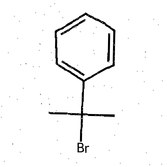 CC(C)(Br)c1ccccc1